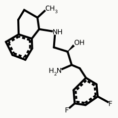 CC1CCc2ccccc2C1NC[C@@H](O)C(N)Cc1cc(F)cc(F)c1